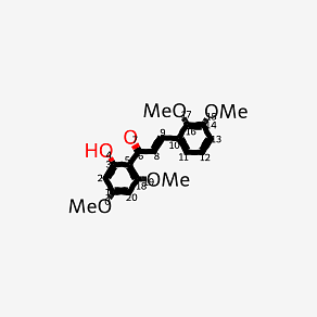 COc1cc(O)c(C(=O)C=Cc2cccc(OC)c2OC)c(OC)c1